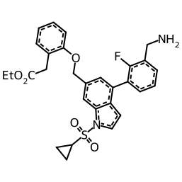 CCOC(=O)Cc1ccccc1OCc1cc(-c2cccc(CN)c2F)c2ccn(S(=O)(=O)C3CC3)c2c1